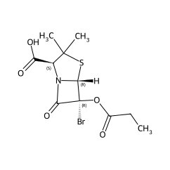 CCC(=O)O[C@@]1(Br)C(=O)N2[C@@H](C(=O)O)C(C)(C)S[C@@H]21